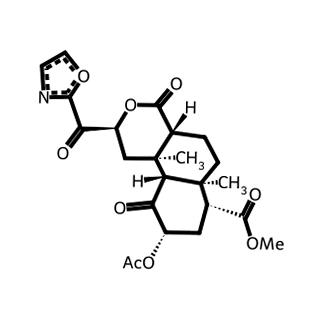 COC(=O)[C@@H]1C[C@H](OC(C)=O)C(=O)[C@H]2[C@@]1(C)CC[C@H]1C(=O)O[C@H](C(=O)c3ncco3)C[C@]21C